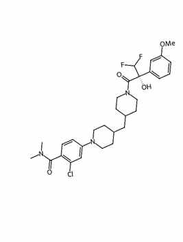 COc1cccc([C@@](O)(C(=O)N2CCC(CC3CCN(c4ccc(C(=O)N(C)C)c(Cl)c4)CC3)CC2)C(F)F)c1